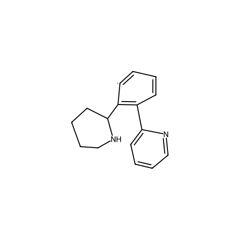 [c]1cccc(-c2ccccn2)c1C1CCCCN1